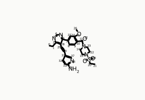 CCc1ncnc(-c2ccc(C(=O)N3CCN(S(=O)(=O)CC)CC3)c(OC)c2)c1C#Cc1ccc(N)nc1